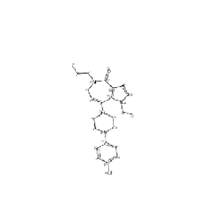 CCCN1CC=C(N2CCN(c3ccc(Cl)cc3)CC2)c2c(ccn2CC)C1=O